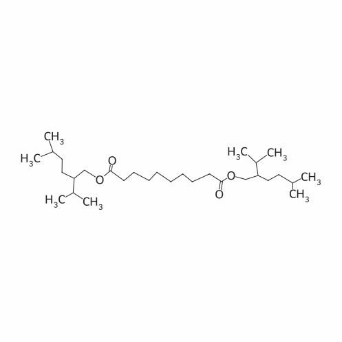 CC(C)CCC(COC(=O)CCCCCCCCC(=O)OCC(CCC(C)C)C(C)C)C(C)C